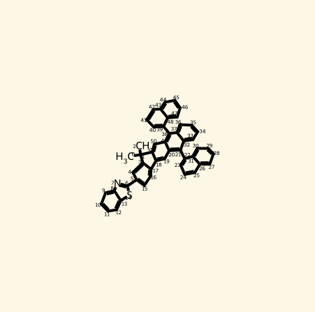 CC1(C)c2cc(-c3nc4ccccc4s3)ccc2-c2cc3c(-c4cccc5ccccc45)c4ccccc4c(-c4cccc5ccccc45)c3cc21